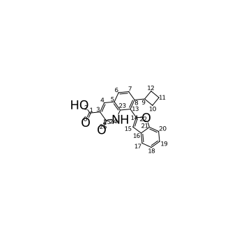 O=C(O)c1cc2ccc(C3CCC3)c(-c3cc4ccccc4o3)c2[nH]c1=O